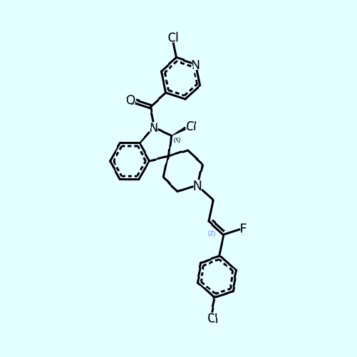 O=C(c1ccnc(Cl)c1)N1c2ccccc2C2(CCN(C/C=C(\F)c3ccc(Cl)cc3)CC2)[C@@H]1Cl